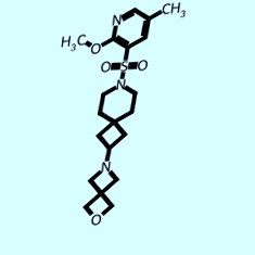 COc1ncc(C)cc1S(=O)(=O)N1CCC2(CC1)CC(N1CC3(COC3)C1)C2